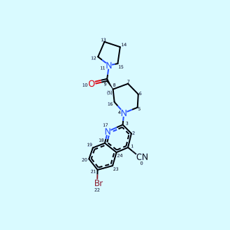 N#Cc1cc(N2CCC[C@H](C(=O)N3CCCC3)C2)nc2ccc(Br)cc12